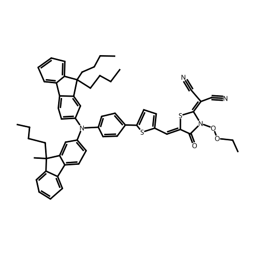 CCCCC1(C)c2ccccc2-c2ccc(N(c3ccc(-c4ccc(/C=c5\sc(=C(C#N)C#N)n(OOCC)c5=O)s4)cc3)c3ccc4c(c3)C(CCCC)(CCCC)c3ccccc3-4)cc21